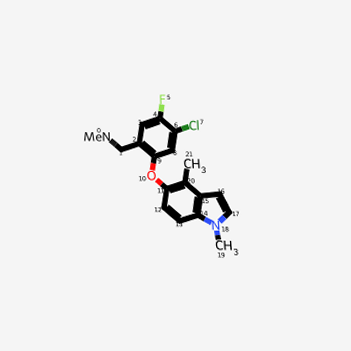 CNCc1cc(F)c(Cl)cc1Oc1ccc2c(ccn2C)c1C